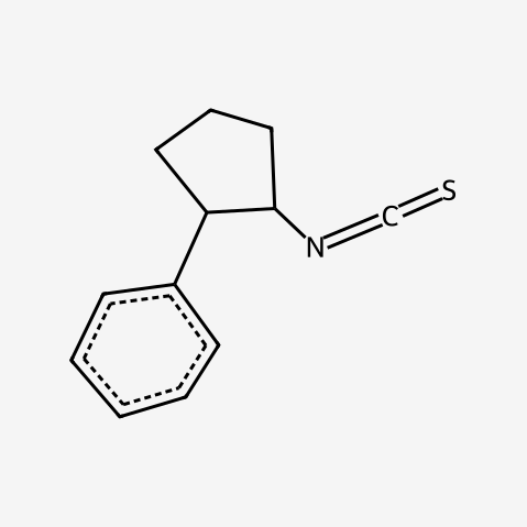 S=C=NC1CCCC1c1ccccc1